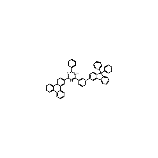 c1ccc(C2N=C(c3ccc4c5ccccc5c5ccccc5c4c3)N=C(c3cccc(-c4ccc5c(c4)-c4ccccc4C5(c4ccccc4)c4ccccc4)c3)N2)cc1